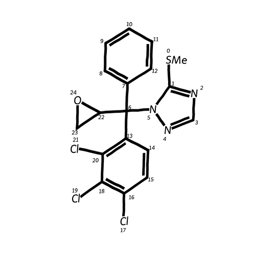 CSc1ncnn1C(c1ccccc1)(c1ccc(Cl)c(Cl)c1Cl)C1CO1